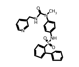 CN(C(=O)NCc1cccnc1)c1ccc(NS(=O)(=O)c2ccccc2-c2ccccc2)cc1